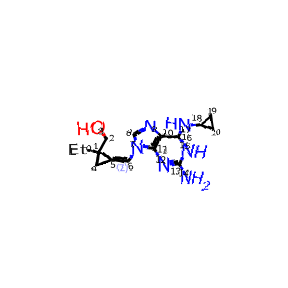 CCC1(CO)C/C1=C/n1cnc2c1N=C(N)NC2NC1CC1